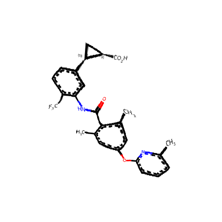 Cc1cccc(Oc2cc(C)c(C(=O)Nc3cc([C@H]4C[C@H]4C(=O)O)ccc3C(F)(F)F)c(C)c2)n1